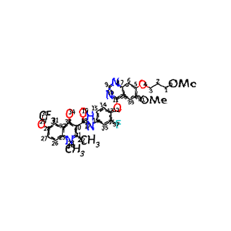 COCCCOc1cc2ncnc(Oc3ccc(NC(=O)c4c(C)n(C)c5ccc(OC(F)(F)F)cc5c4=O)cc3F)c2cc1OC